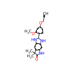 C#CCOc1ccc(C2Nc3cc4c(cc3N2)C(C)(C)C(=O)N4)c(OC)c1